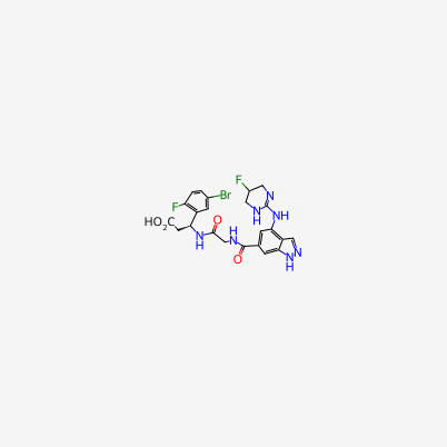 O=C(O)C[C@H](NC(=O)CNC(=O)c1cc(NC2=NCC(F)CN2)c2cn[nH]c2c1)c1cc(Br)ccc1F